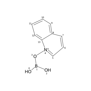 OB(O)O[n+]1cccc2ccccc21